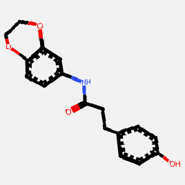 O=C(CCc1ccc(O)cc1)Nc1ccc2c(c1)OCCO2